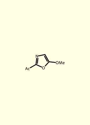 COc1cnc(C(C)=O)o1